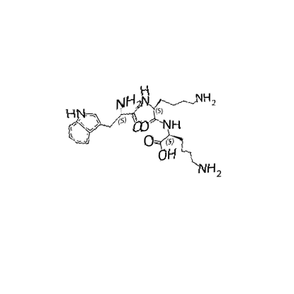 NCCCC[C@H](NC(=O)[C@H](CCCCN)NC(=O)[C@@H](N)Cc1c[nH]c2ccccc12)C(=O)O